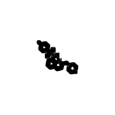 Cc1ccc(S(=O)(=O)Nc2cccc3ccc(CN4CCSCC4)nc23)cc1